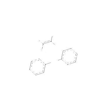 C/C(C(=O)[O-])=C(\C)C(=O)[O-].c1cc[c]([Sn+2][c]2ccccc2)cc1